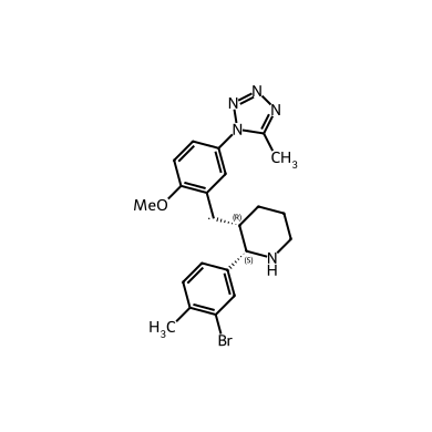 COc1ccc(-n2nnnc2C)cc1[CH][C@@H]1CCCN[C@@H]1c1ccc(C)c(Br)c1